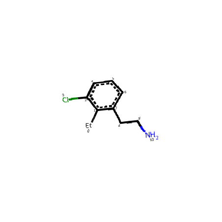 CCc1c(Cl)cccc1CCN